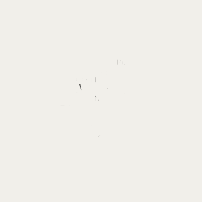 C[C@@H](C(=O)O)N(C(=O)OC(C)(C)C)c1csc2ccccc12